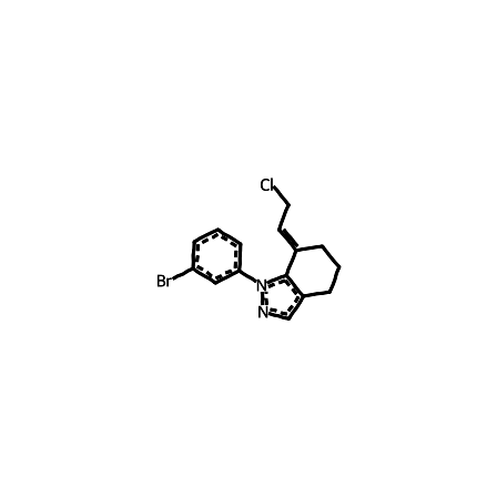 ClC/C=C1\CCCc2cnn(-c3cccc(Br)c3)c21